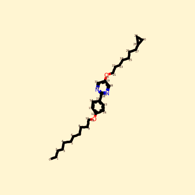 CCCCCCCCCCCOc1ccc(-c2ncc(OCCCCCCCC3CC3)cn2)cc1